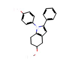 COC1CCc2c(cc(-c3ccccc3)n2-c2ccc(O)cc2)C1